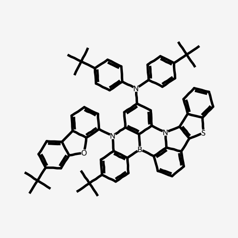 CC(C)(C)c1ccc(N(c2ccc(C(C)(C)C)cc2)c2cc3c4c(c2)-n2c5c(cccc5c5sc6ccccc6c52)B4c2ccc(C(C)(C)C)cc2N3c2cccc3c2oc2cc(C(C)(C)C)ccc23)cc1